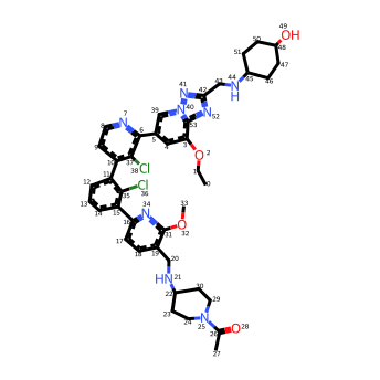 CCOc1cc(-c2nccc(-c3cccc(-c4ccc(CNC5CCN(C(C)=O)CC5)c(OC)n4)c3Cl)c2Cl)cn2nc(CNC3CCC(O)CC3)nc12